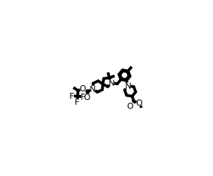 COC(=O)C1CCN(c2cc(C)ccc2CN2CC3(CCN(C(=O)OC(C)C(F)(F)F)CC3)CC2(C)C)CC1